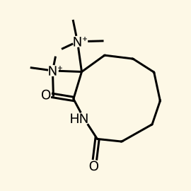 C[N+](C)(C)C1([N+](C)(C)C)CCCCCCC(=O)NC1=O